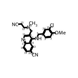 COc1ccc(CNc2c(CN(C)CCC#N)cnc3ccc(C#N)cc23)cc1Cl